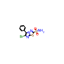 NS(=O)(=O)c1nn2c(-c3ccccc3)c(Br)nc2s1